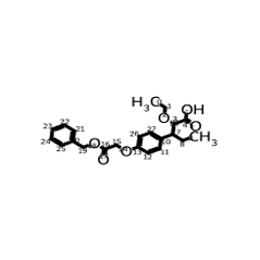 CCO[C@H](C(=O)O)C(CC)c1ccc(OCC(=O)OCc2ccccc2)cc1